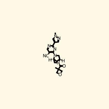 Cn1cc(-c2ncc(C#N)c(N3C[C@H]4C[C@H]3CN4C(=O)C3(C)COC3)n2)cn1